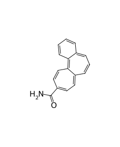 NC(=O)C1=CC=C2C=CC=c3ccccc3=C2C=C1